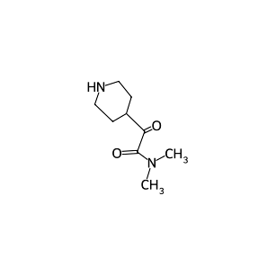 CN(C)C(=O)C(=O)C1CCNCC1